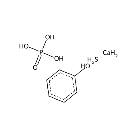 O=P(O)(O)O.Oc1ccccc1.S.[CaH2]